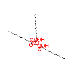 CCCCCC=CCC=CCCCCCCC(O)C(=O)OCC(COC(=O)C(O)CCCCCCC=CCC=CCCCCC)OC(=O)C(O)CCCCCCC=CCC=CCCCCC